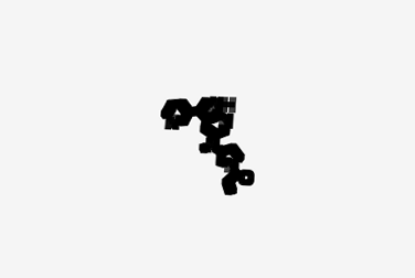 C=CC(=O)N1CCC(N(C)c2cnc3[nH]cc(-c4cccnc4)c3c2)C1